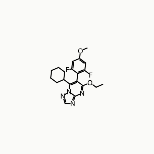 CCOc1nc2ncnn2c(C2CCCCC2)c1-c1c(F)cc(OC)cc1F